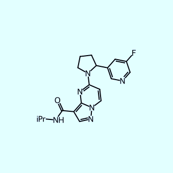 CC(C)NC(=O)c1cnn2ccc(N3CCCC3c3cncc(F)c3)nc12